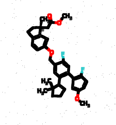 COC(=O)C[C@@]1(C)CCc2ccc(OCc3cc(C4CCCC4(C)C)c(-c4cc(OC)ccc4F)cc3F)cc21